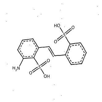 Nc1cccc(C=Cc2ccccc2S(=O)(=O)O)c1S(=O)(=O)O